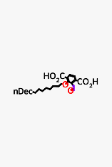 CCCCCCCCCCCCCCCCCCOc1c(C(=O)O)ccc(C(=O)O)c1I=O